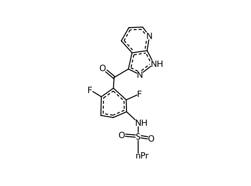 CCCS(=O)(=O)Nc1ccc(F)c(C(=O)c2n[nH]c3ncccc23)c1F